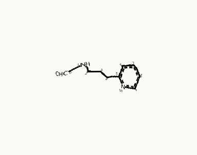 O=[C]NCCCc1ccccn1